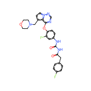 O=C(Cc1ccc(F)cc1)NC(=O)Nc1ccc(Oc2ncnn3ccc(CN4CCOCC4)c23)c(F)c1